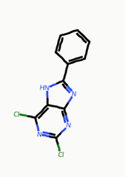 Clc1nc(Cl)c2[nH]c(-c3ccccc3)nc2n1